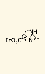 CCOC(=O)c1cc2c(s1)-c1ncc(C)cc1NCC2